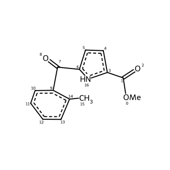 COC(=O)c1ccc(C(=O)c2ccccc2C)[nH]1